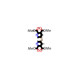 COC(=O)c1cc(Sc2cnc(C(=O)OC)c(C(=O)OC)c2)cnc1C(=O)OC